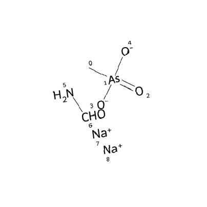 C[As](=O)([O-])[O-].NC=O.[Na+].[Na+]